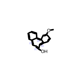 COc1ccc2/c(c1)=c1/cccc/c1=C/C=C(O)/C=2